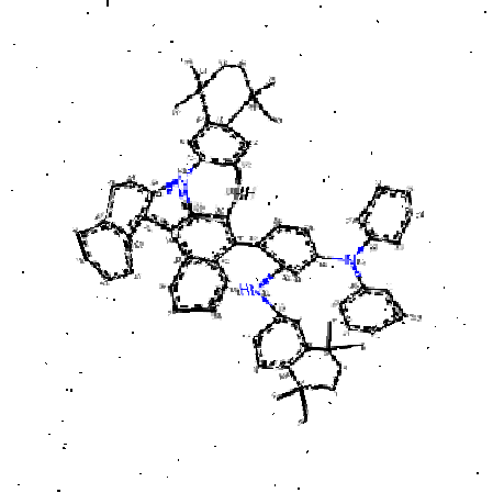 CC1(C)CCC(C)(C)c2cc(Nc3cc(N(c4ccccc4)c4ccccc4)ccc3-c3c4c5c(c6ccccc36)c3c6ccccc6ccc3n5-c3cc5c(cc3B4)C(C)(C)CCC5(C)C)ccc21